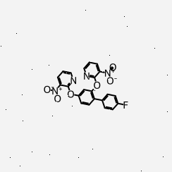 O=[N+]([O-])c1cccnc1Oc1ccc(-c2ccc(F)cc2)c(Oc2ncccc2[N+](=O)[O-])c1